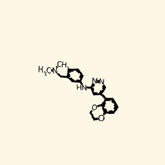 CN(C)Cc1cccc(Nc2cc(-c3cccc4c3OCCO4)cnn2)c1